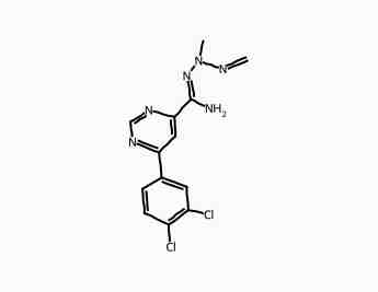 C=NN(C)/N=C(\N)c1cc(-c2ccc(Cl)c(Cl)c2)ncn1